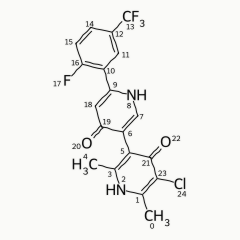 Cc1[nH]c(C)c(-c2c[nH]c(-c3cc(C(F)(F)F)ccc3F)cc2=O)c(=O)c1Cl